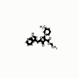 CCOC(=O)C1=C(N2CCCC(C)C2)OC(=Cc2c[nH]c3ncccc23)C1=O